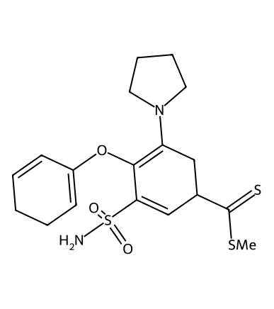 CSC(=S)C1C=C(S(N)(=O)=O)C(OC2=CCCC=C2)=C(N2CCCC2)C1